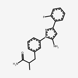 CC(Cc1cccc(-n2nc(-c3ccccc3F)cc2N)c1)C(N)=O